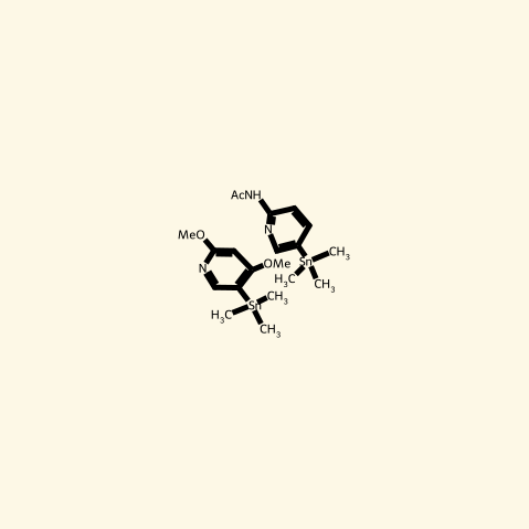 CC(=O)Nc1cc[c]([Sn]([CH3])([CH3])[CH3])cn1.COc1cc(OC)[c]([Sn]([CH3])([CH3])[CH3])cn1